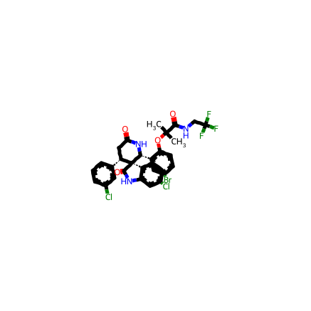 CC(C)(Oc1ccc(Br)cc1[C@H]1NC(=O)C[C@@H](c2cccc(Cl)c2)[C@]12C(=O)Nc1cc(Cl)ccc12)C(=O)NCC(F)(F)F